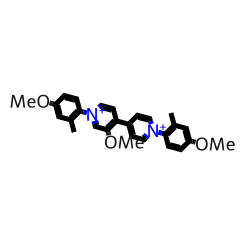 COc1ccc(-[n+]2ccc(-c3cc[n+](-c4ccc(OC)cc4C)cc3OC)cc2)c(C)c1